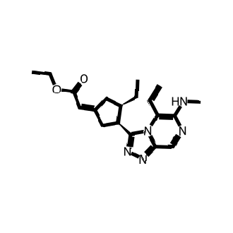 C=Cc1c(NC)ncc2nnc([C@H]3C/C(=C/C(=O)OCC)C[C@H]3CC)n12